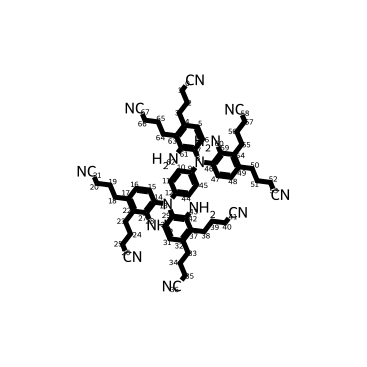 N#CCCCc1ccc(N(c2ccc(N(c3ccc(CCCC#N)c(CCCC#N)c3N)c3ccc(CCCC#N)c(CCCC#N)c3N)cc2)c2ccc(CCCC#N)c(CCCC#N)c2N)c(N)c1CCCC#N